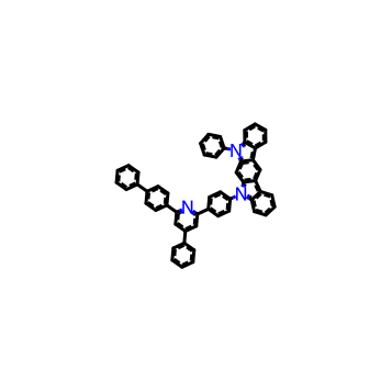 c1ccc(-c2ccc(-c3cc(-c4ccccc4)cc(-c4ccc(-n5c6ccccc6c6cc7c8ccccc8n(-c8ccccc8)c7cc65)cc4)n3)cc2)cc1